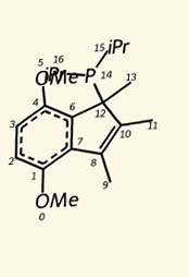 COc1ccc(OC)c2c1C(C)=C(C)C2(C)P(C(C)C)C(C)C